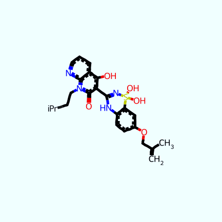 C=C(C)COc1ccc2c(c1)S(O)(O)N=C(c1c(O)c3cccnc3n(CCC(C)C)c1=O)N2